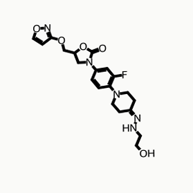 O=C1OC(COc2ccon2)CN1c1ccc(N2CCC(=NNCCO)CC2)c(F)c1